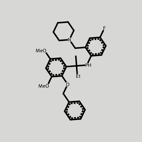 CCC(C)(Pc1ccc(F)cc1CN1CCCCC1)c1cc(OC)cc(OC)c1OCc1ccccc1